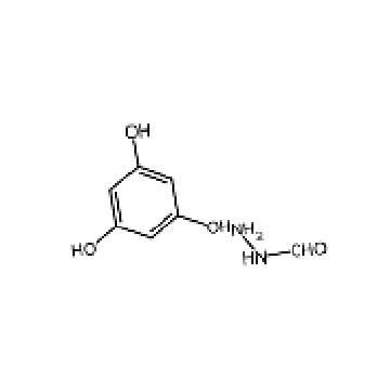 NNC=O.Oc1cc(O)cc(O)c1